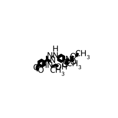 CCOC(=O)N=S(C)(=O)c1ccc(Nc2ncc(-c3ccc4c(c3)OCO4)c(N[C@H](C)CO)n2)cc1